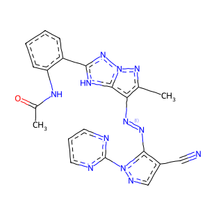 CC(=O)Nc1ccccc1-c1nn2nc(C)c(/N=N/c3c(C#N)cnn3-c3ncccn3)c2[nH]1